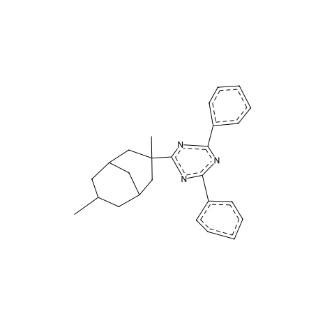 CC1CC2CC(C1)CC(C)(c1nc(-c3ccccc3)nc(-c3ccccc3)n1)C2